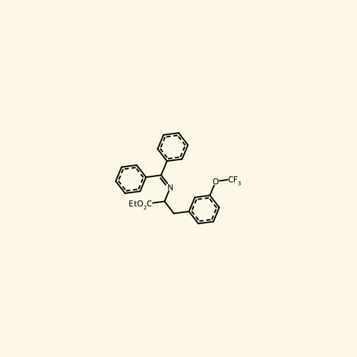 CCOC(=O)C(Cc1cccc(OC(F)(F)F)c1)N=C(c1ccccc1)c1ccccc1